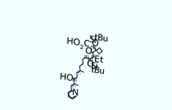 CC[C@@H](C(=O)C1([C@H](CC(=O)O)O[Si](C)(C)C(C)(C)C)CCC1)[C@@H](O[Si](C)(C)C(C)(C)C)[C@@H](C)CCC/C(C)=C/C[C@H](O)/C(C)=C/c1ccccn1